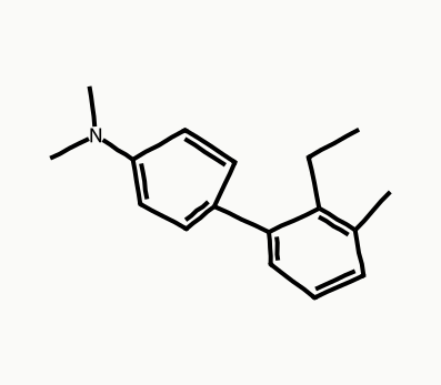 CCc1c(C)cccc1-c1ccc(N(C)C)cc1